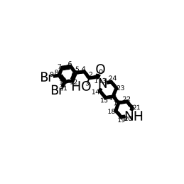 O=C([C@H](O)Cc1ccc(Br)c(Br)c1)N1CCC(C2CCNCC2)CC1